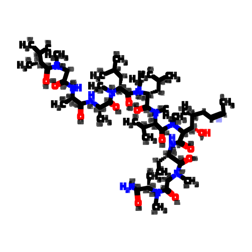 C/C=C\C[C@@H](C)[C@H](O)C(C(=O)N[C@@H](CC)C(=O)N(C)CC(=O)N(C)[C@@H](C)C(N)=O)N(C)C(=O)[C@@H](C(C)C)N(C)C(=O)[C@@H](CC(C)C)N(C)C(=O)[C@@H](CC(C)C)N(C)C(=O)[C@H](C)NC(=O)[C@@H](C)NC(=O)CN(C)C(=O)[C@H](C)C(C)C